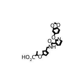 CC(OC1CC=C(CNC(=O)c2cccnc2Oc2ccc3c(c2)OCO3)C1)C(=O)O